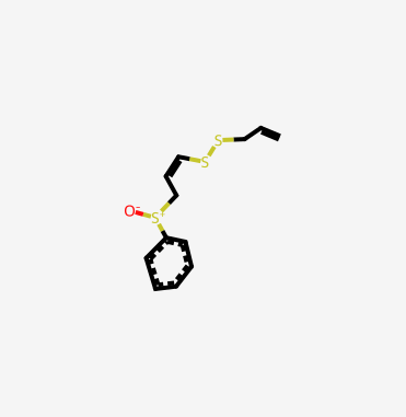 C=CCSS/C=C\C[S+]([O-])c1ccccc1